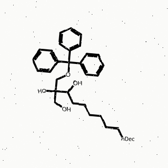 CCCCCCCCCCCCCCCCC(O)C(O)(CO)COC(c1ccccc1)(c1ccccc1)c1ccccc1